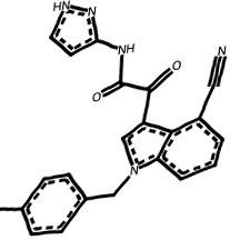 N#Cc1cccc2c1c(C(=O)C(=O)Nc1cc[nH]n1)cn2Cc1ccc(F)cc1